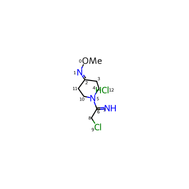 CON=C1CCN(C(=N)CCl)CC1.Cl